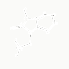 CN1C(=O)C(C[SH](C)C)c2ccccc21